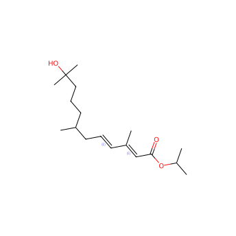 CC(/C=C/CC(C)CCCC(C)(C)O)=C\C(=O)OC(C)C